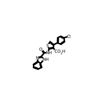 O=C(Nc1scc(-c2ccc(Cl)cc2)c1C(=O)O)c1nc2ccccc2[nH]1